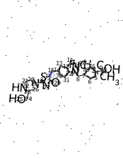 CC(C)(O)c1ccc(Cn2ncc3cc(/C=C4/SC(N5CCNC(CO)C5)=NC4=O)ccc32)c(C(F)(F)F)c1